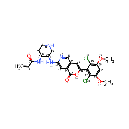 C=CC(=O)N[C@H]1CCNC[C@H]1Nc1cc2c(=O)oc(-c3c(Cl)c(OC)cc(OC)c3Cl)cc2cn1